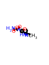 CCc1n[nH]c2c1CCOc1cc(N3C[C@H](C(N)=O)OC3=O)ccc1-2